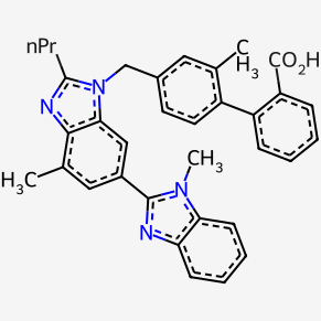 CCCc1nc2c(C)cc(-c3nc4ccccc4n3C)cc2n1Cc1ccc(-c2ccccc2C(=O)O)c(C)c1